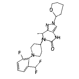 CC1c2nn(C3CCCCO3)cc2NC(=O)N1C1CCN(c2c(F)cccc2C(F)F)CC1